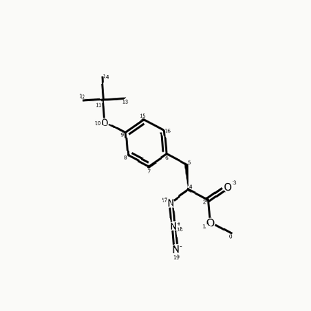 COC(=O)[C@H](Cc1ccc(OC(C)(C)C)cc1)N=[N+]=[N-]